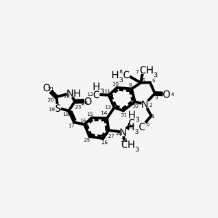 CCN1C(=O)CC(C)(C)c2cc(C)c(-c3cc(C=C4SC(=O)NC4=O)ccc3N(C)C)cc21